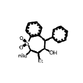 CCCCC1C(CC)C(O)C(c2ccccc2)c2ccccc2S1(=O)=O